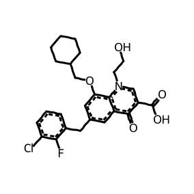 O=C(O)c1cn(CCO)c2c(OCC3CCCCC3)cc(Cc3cccc(Cl)c3F)cc2c1=O